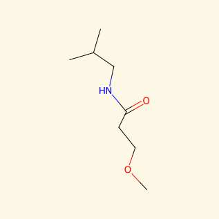 COCCC(=O)NCC(C)C